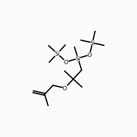 C=C(C)COC(C)(C)C[Si](C)(O[Si](C)(C)C)O[Si](C)(C)C